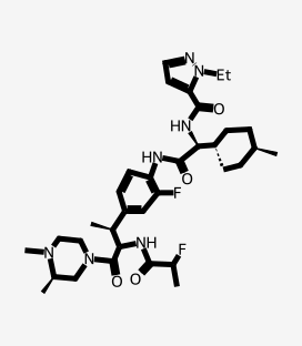 CCn1nccc1C(=O)N[C@H](C(=O)Nc1ccc([C@H](C)C(NC(=O)C(C)F)C(=O)N2CCN(C)[C@H](C)C2)cc1F)[C@H]1CC[C@H](C)CC1